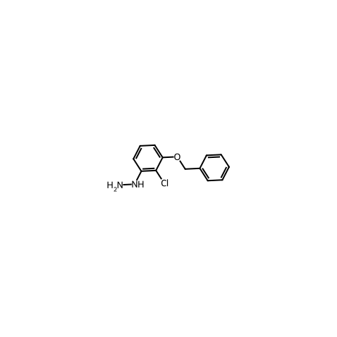 NNc1cccc(OCc2ccccc2)c1Cl